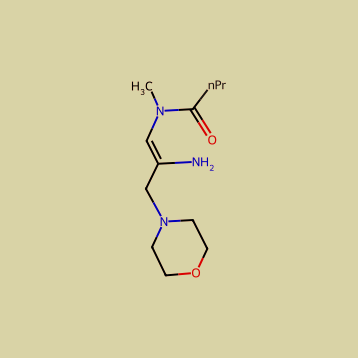 CCCC(=O)N(C)/C=C(\N)CN1CCOCC1